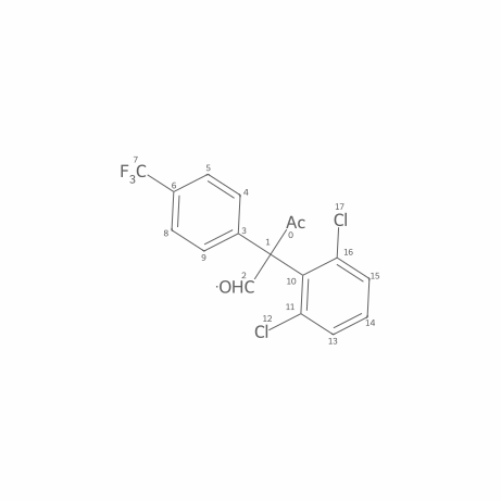 CC(=O)C([C]=O)(c1ccc(C(F)(F)F)cc1)c1c(Cl)cccc1Cl